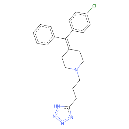 Clc1ccc(C(=C2CCN(CCCc3nnn[nH]3)CC2)c2ccccc2)cc1